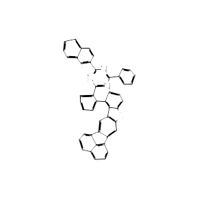 c1ccc(-c2nc(-c3ccc4ccccc4c3)nc(-c3ccccc3-c3cccc4sc5cc6c(cc5c34)-c3cccc4cccc-6c34)n2)cc1